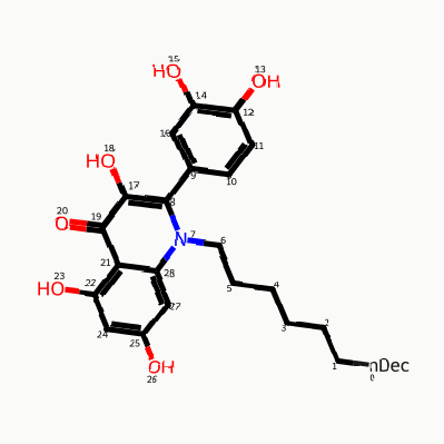 CCCCCCCCCCCCCCCCn1c(-c2ccc(O)c(O)c2)c(O)c(=O)c2c(O)cc(O)cc21